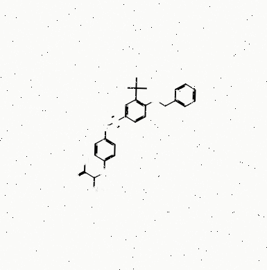 CCCCCCCCCCC(Oc1ccc(NS(=O)(=O)c2ccc(OCc3ccccc3)c(C(C)(C)CC)c2)cc1)C(=O)Cl